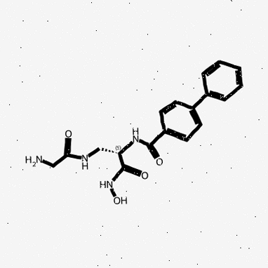 NCC(=O)NC[C@H](NC(=O)c1ccc(-c2ccccc2)cc1)C(=O)NO